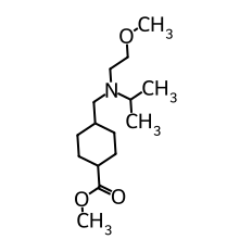 COCCN(CC1CCC(C(=O)OC)CC1)C(C)C